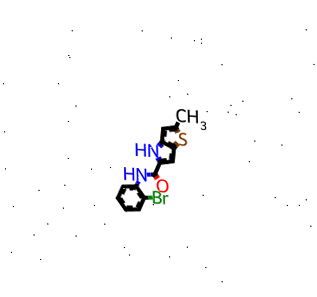 Cc1cc2[nH]c(C(=O)Nc3ccccc3Br)cc2s1